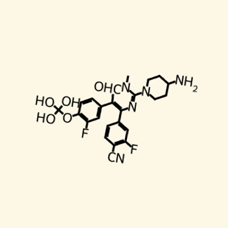 C/C(=C(\N=C(/N(C)C=O)N1CCC(N)CC1)c1ccc(C#N)c(F)c1)c1ccc(OC(O)(O)O)c(F)c1